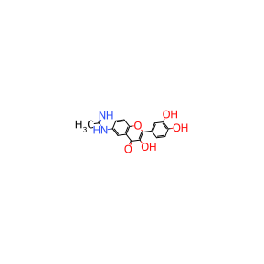 CC(=N)Nc1ccc2oc(-c3ccc(O)c(O)c3)c(O)c(=O)c2c1